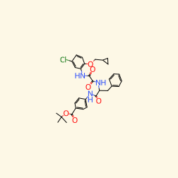 CC(C)(C)OC(=O)c1ccc(NC(=O)C(Cc2ccccc2)NC(=O)C(=O)Nc2cc(Cl)ccc2OCC2CC2)cc1